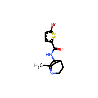 CC1C(NC(=O)c2ccc(Br)s2)C2CCN1CC2